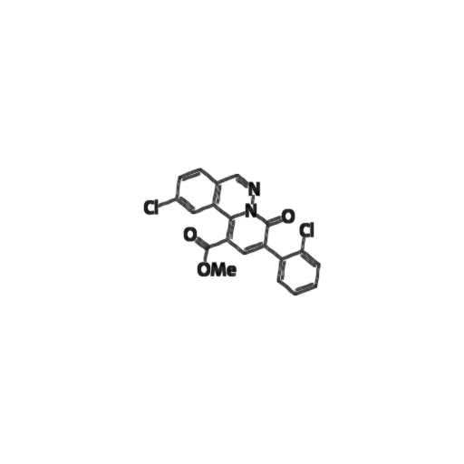 COC(=O)c1cc(-c2ccccc2Cl)c(=O)n2ncc3ccc(Cl)cc3c12